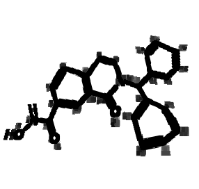 O=C(NO)c1ccc2ccn(C(c3ccccc3)c3ccccc3)c(=O)c2c1